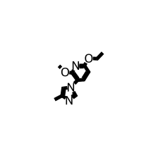 CCOc1ccc(-n2cnc(C)c2)c(OC)n1